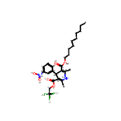 CCCCCCCCCCOC(=O)C1=C(C)NC(C)=C(C(=O)OCC(F)(F)F)C1c1cccc([N+](=O)[O-])c1